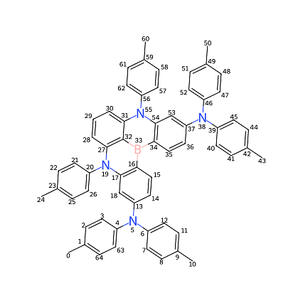 Cc1ccc(N(c2ccc(C)cc2)c2ccc3c(c2)N(c2ccc(C)cc2)c2cccc4c2B3c2ccc(N(c3ccc(C)cc3)c3ccc(C)cc3)cc2N4c2ccc(C)cc2)cc1